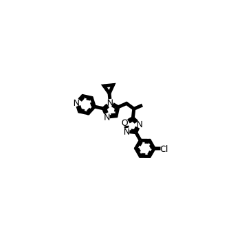 CC(Cc1cnc(-c2ccncc2)n1C1CC1)c1nc(-c2cccc(Cl)c2)no1